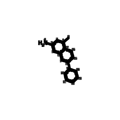 Cc1cc(N)cc2cc(-c3ccccc3)ccc12